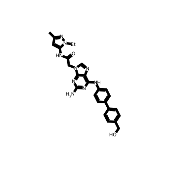 CCn1nc(C)cc1NC(=O)Cn1cnc2c(Nc3ccc(-c4ccc(CO)cc4)cc3)nc(N)nc21